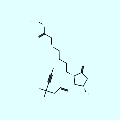 CC#CC(O)(CC=C[C@H]1[C@H](O)CC(=O)[C@@H]1CCCCOCC(=O)OCCCCCC)CCCCCC